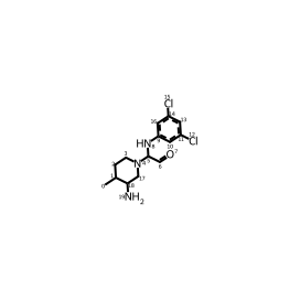 CC1CCN(C(C=O)Nc2cc(Cl)cc(Cl)c2)CC1N